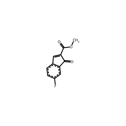 COC(=O)C1=Cc2ccc(F)cc2C1=O